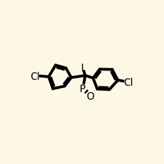 O=PC(I)(c1ccc(Cl)cc1)c1ccc(Cl)cc1